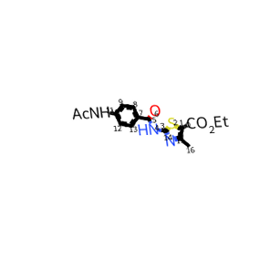 CCOC(=O)c1sc(NC(=O)c2ccc(NC(C)=O)cc2)nc1C